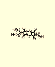 O=c1c2cc3c(=O)n(C(CO)CO)c(=O)c3cc2c(=O)n1CO